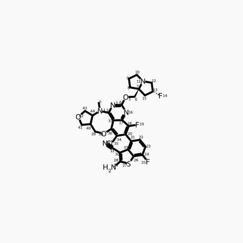 CN1c2nc(OC[C@@]34CCCN3C[C@H](F)C4)nc3c(F)c(-c4ccc(F)c5sc(N)c(C#N)c45)c(Cl)c(c23)OCC2COCC21